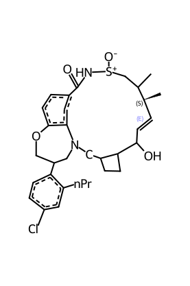 CCCc1cc(Cl)ccc1C1COc2ccc3cc2N(C1)CC1CCC1C(O)/C=C/[C@H](C)C(C)C[S+]([O-])NC3=O